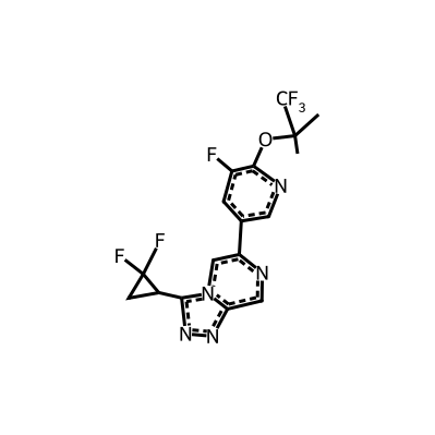 CC(C)(Oc1ncc(-c2cn3c(C4CC4(F)F)nnc3cn2)cc1F)C(F)(F)F